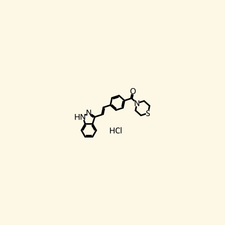 Cl.O=C(c1ccc(/C=C/c2n[nH]c3ccccc23)cc1)N1CCSCC1